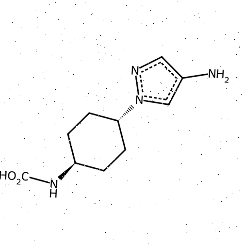 Nc1cnn([C@H]2CC[C@H](NC(=O)O)CC2)c1